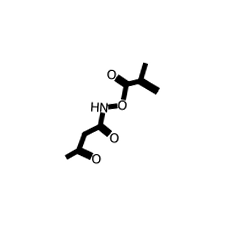 C=C(C)C(=O)ONC(=O)CC(C)=O